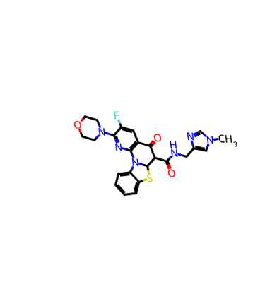 Cn1cnc(CNC(=O)C2C(=O)c3cc(F)c(N4CCOCC4)nc3N3c4ccccc4SC23)c1